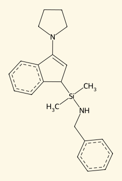 C[Si](C)(NCc1ccccc1)C1C=C(N2CCCC2)c2ccccc21